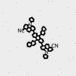 N#Cc1ccc2c3c1ccc1c(-c4ccc5c(-c6ccc7ccccc7c6)c6cc(-c7ccc8c9c7ccc7c(C#N)ccc(c79)n8-c7ccccc7)ccc6c(-c6ccc7ccccc7c6)c5c4)ccc(c13)n2-c1ccccc1